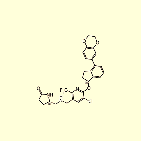 O=C1CC[C@@H](CNCc2cc(Cl)c(O[C@H]3CCc4c(-c5ccc6c(c5)OCCO6)cccc43)nc2C(F)(F)F)N1